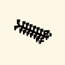 F[C](F)C(F)(F)C(F)(F)C(F)(F)C(F)(F)C(F)(F)C(F)(F)C(F)(C(F)(F)F)C(F)(F)F